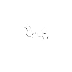 Fc1ccc2c(c1CNc1nccc3c(I)ncn13)CCO2